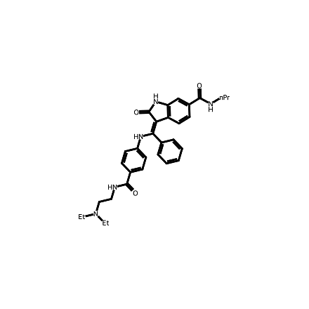 CCCNC(=O)c1ccc2c(c1)NC(=O)/C2=C(\Nc1ccc(C(=O)NCCN(CC)CC)cc1)c1ccccc1